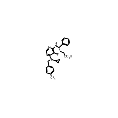 O=C(O)CC[C@H](Nc1ncnc(N(Cc2ccc(C(F)(F)F)cc2)C2CC2)c1F)c1ccccc1